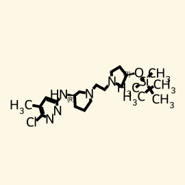 Cc1cc(N[C@@H]2CCCN(CCN3CC[C@@H](O[Si](C)(C)C(C)(C)C)C3)C2)nnc1Cl